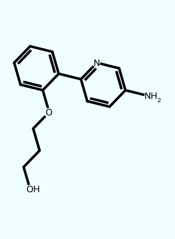 Nc1ccc(-c2ccccc2OCCCO)nc1